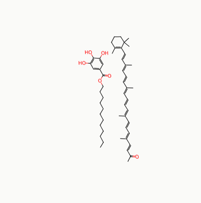 CC(=O)/C=C/C(C)=C/C=C/C(C)=C/C=C/C=C(C)/C=C/C=C(C)/C=C/C1=C(C)CCCC1(C)C.CCCCCCCCCCCCOC(=O)c1cc(O)c(O)c(O)c1